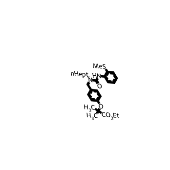 CCCCCCCN(Cc1ccc(OC(C)(C)C(=O)OCC)cc1)C(=O)Nc1ccccc1SC